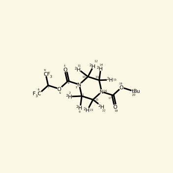 [2H]C1([2H])N(C(=O)OC(C(F)(F)F)C(F)(F)F)C([2H])([2H])C([2H])([2H])N(C(=O)OC(C)(C)C)C1([2H])[2H]